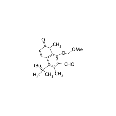 COCOc1c(C=O)c(C)c([Si](C)(C)C(C)(C)C)c2c1C(C)C(=O)C=C2